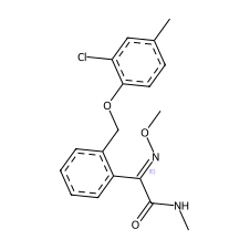 CNC(=O)/C(=N/OC)c1ccccc1COc1ccc(C)cc1Cl